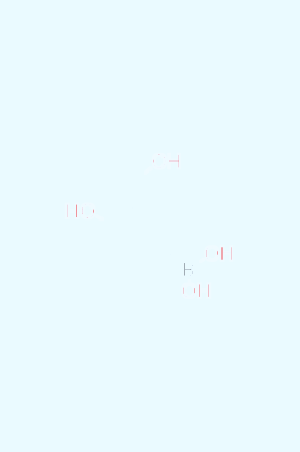 OCc1cc(B(O)O)ccc1O